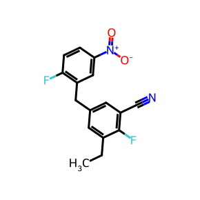 CCc1cc(Cc2cc([N+](=O)[O-])ccc2F)cc(C#N)c1F